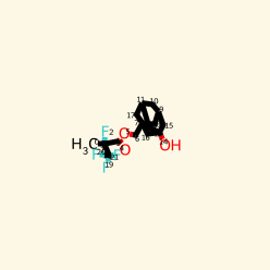 CC(F)(C(=O)OCC12CC3CC(CC(O)(C3)C1)C2)C(F)(F)F